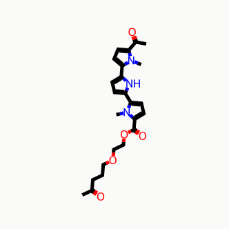 CC(=O)CCCOCCOC(=O)c1ccc(-c2ccc(-c3ccc(C(C)=O)n3C)[nH]2)n1C